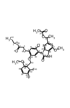 CCOC(=O)COc1cc(Cl)c(-n2c(=O)[nH]c3c(OC)nc(C(C)OC(C)=O)nc32)cc1OCc1c(OC)ccc(F)c1F